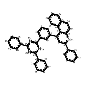 c1ccc(-c2cc(-c3cccc(-c4nc(-c5ccccc5)nc(-c5ccccc5)n4)c3)c3c(ccc4ccccc43)n2)cc1